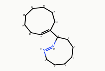 C1=C(/C2CCCCCC/N=N/2)CCCCCCC/1